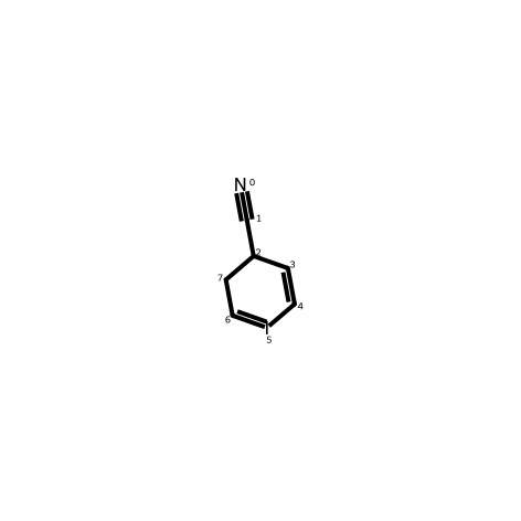 N#CC1C=CI=CC1